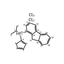 C[CH](C)[Hf+2]([C]1=CC=CC1)[c]1cccc2c1Cc1ccccc1-2.[Cl-].[Cl-]